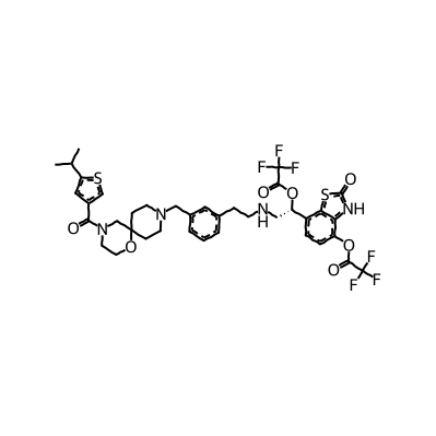 CC(C)c1cc(C(=O)N2CCOC3(CCN(Cc4cccc(CCNC[C@H](OC(=O)C(F)(F)F)c5ccc(OC(=O)C(F)(F)F)c6[nH]c(=O)sc56)c4)CC3)C2)cs1